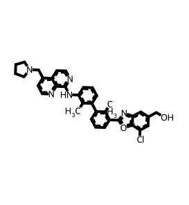 Cc1c(Nc2nccc3c(CN4CCCC4)ccnc23)cccc1-c1cccc(-c2nc3cc(CO)cc(Cl)c3o2)c1C